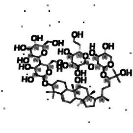 C[C@H](CC[C@@H](O[C@@H]1OC[C@@H](O)[C@H](O)[C@H]1O[C@H]1O[C@@H](CCO)[C@H](O)[C@@H](O)[C@@H]1O)C(C)(C)O)C1CC[C@@]2(C)C3CC=C4C(CC[C@H](O[C@@H]5O[C@H](CO)C([C@@H]6O[C@H](CO)[C@@H](O)[C@H](O)[C@H]6O)[C@H](O)[C@H]5O)C4(C)C)[C@]3(C)[C@H](O)C[C@]12C